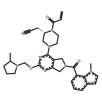 C=CC(=O)N1CCN(c2nc(OCN3CCCC3C)nc3c2CN(C(=O)c2cccc4ccn(C)c24)C3)C[C@@H]1CC#N